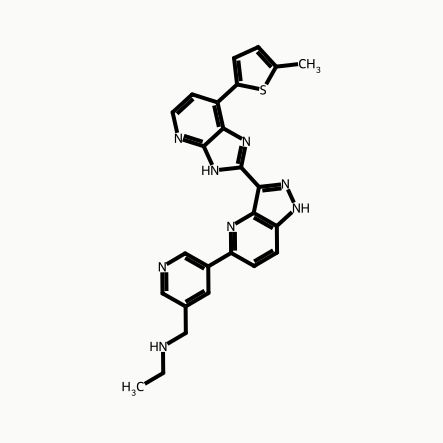 CCNCc1cncc(-c2ccc3[nH]nc(-c4nc5c(-c6ccc(C)s6)ccnc5[nH]4)c3n2)c1